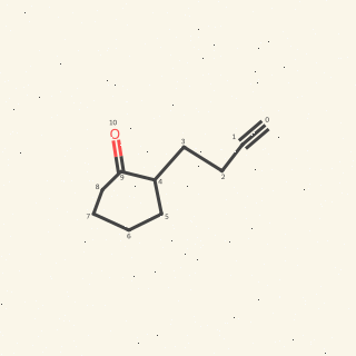 C#CCCC1CCCCC1=O